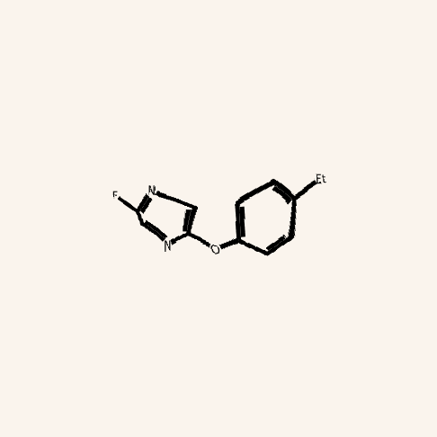 CCc1ccc(Oc2cnc(F)cn2)cc1